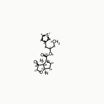 CCC(Cc1ccsc1)OC(=O)N1CC[C@H]2OCC(=O)[C@H]21